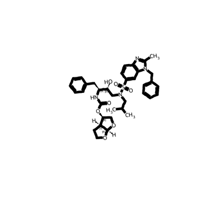 Cc1nc2ccc(S(=O)(=O)N(CC(C)C)C[C@@H](O)[C@H](Cc3ccccc3)NC(=O)O[C@H]3CO[C@H]4OCC[C@H]43)cc2n1Cc1ccccc1